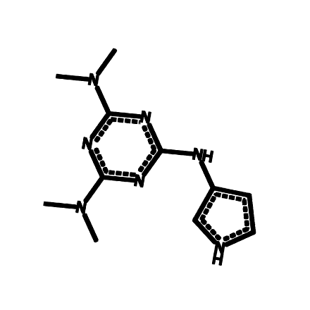 CN(C)c1nc(Nc2cc[nH]c2)nc(N(C)C)n1